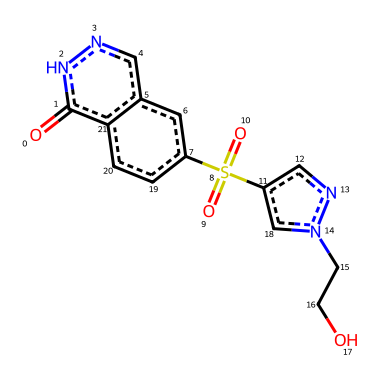 O=c1[nH]ncc2cc(S(=O)(=O)c3cnn(CCO)c3)ccc12